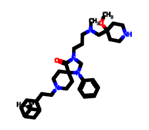 COC1(CN(C)CCCN2CN(c3ccccc3)C3(CCN(CCC4CCC5CC4C5(C)C)CC3)C2=O)CCNCC1